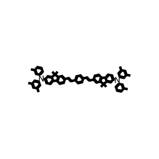 Cc1cccc(N(c2cc(C)cc(C)c2)c2ccc3c(c2)C(C)(C)c2cc(/C=C/c4ccc(/C=C/c5ccc6c(c5)C(C)(C)c5cc(N(c7cccc(C)c7)c7cc(C)cc(C)c7)ccc5-6)cc4)ccc2-3)c1